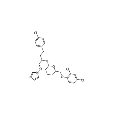 Clc1ccc(CCC(COn2ccnc2)OC2CCCC(COc3ccc(Cl)cc3Cl)O2)cc1